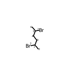 CC(Br)[CH]CC(C)Br